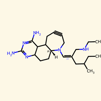 CCNC/C(=C\N1CC#CCC2C3C(N)=NC(N)=NC3CC[C@H]21)CC(C)CC